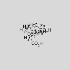 CC(=O)O.CC(=O)O.CC(=O)O.CC(=O)O.CC(=O)O.[Zn]